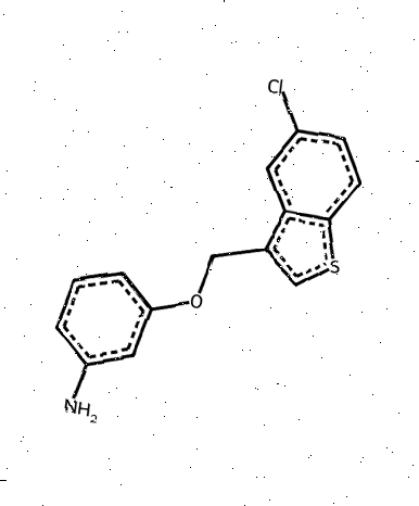 Nc1cccc(OCc2csc3ccc(Cl)cc23)c1